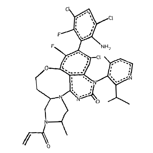 C=CC(=O)N1CC2CCOc3c(F)c(-c4c(N)c(Cl)cc(Cl)c4F)c(Cl)c4c3c(nc(=O)n4-c3c(C)ccnc3C(C)C)N2CC1C